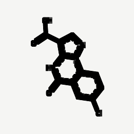 O=C(O)c1cnn2c1[nH]c(=O)c1cc(Cl)ccc12